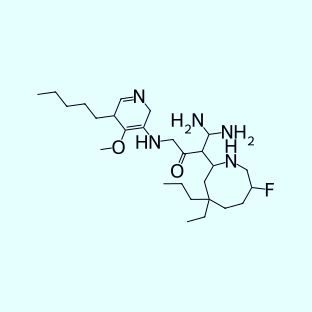 CCCCCC1C=NCC(NCC(=O)C(C(N)N)C2CC(CC)(CCC)CCC(F)CN2)=C1OC